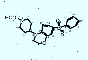 O=C(O)N1CCC(N2CCOc3cc(S(=O)(=O)c4ccccc4)ccc32)CC1